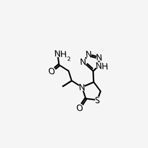 CC(CC(N)=O)N1C(=O)SCC1c1nnn[nH]1